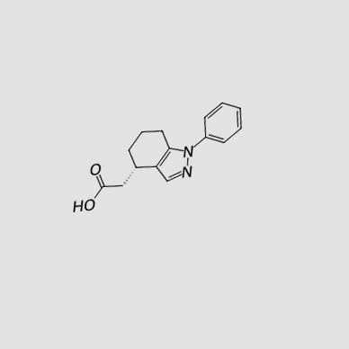 O=C(O)C[C@@H]1CCCc2c1cnn2-c1ccccc1